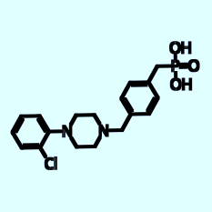 O=P(O)(O)Cc1ccc(CN2CCN(c3ccccc3Cl)CC2)cc1